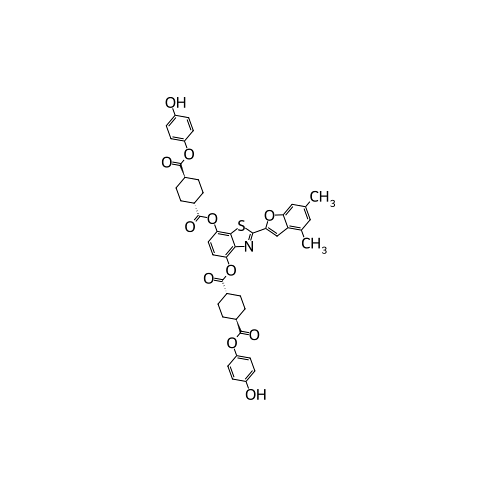 Cc1cc(C)c2cc(-c3nc4c(OC(=O)[C@H]5CC[C@H](C(=O)Oc6ccc(O)cc6)CC5)ccc(OC(=O)[C@H]5CC[C@H](C(=O)Oc6ccc(O)cc6)CC5)c4s3)oc2c1